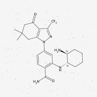 CC1(C)CC(=O)c2c(C(F)(F)F)nn(-c3ccc(C(N)=O)c(N[C@H]4CCCC[C@@H]4N)c3)c2C1